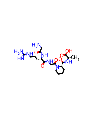 C[C@H](NC(=O)[C@@H]1CCCCN1C(=O)CNC(=O)[C@H](CCCNC(=N)N)NC(=O)CN)C(=O)O